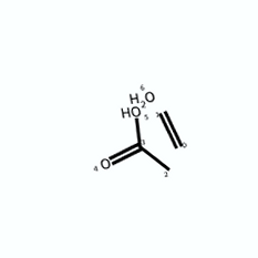 C=C.CC(=O)O.O